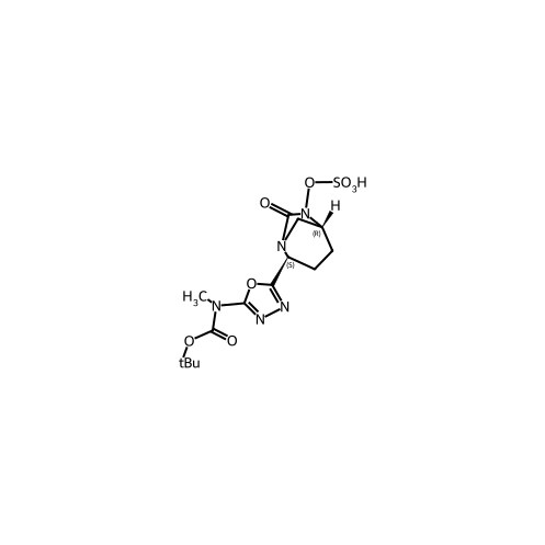 CN(C(=O)OC(C)(C)C)c1nnc([C@@H]2CC[C@@H]3CN2C(=O)N3OS(=O)(=O)O)o1